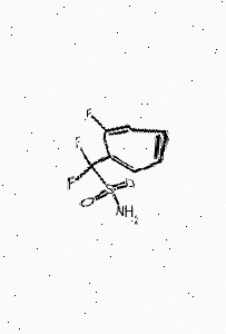 NS(=O)(=O)C(F)(F)c1ccccc1F